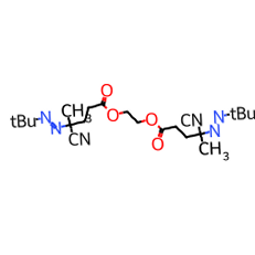 CC(C)(C)N=NC(C)(C#N)CCC(=O)OCCOC(=O)CCC(C)(C#N)N=NC(C)(C)C